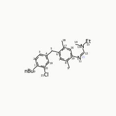 CCCCc1ccc(Cc2cc(C)c(/N=C\N(C)CC)cc2C)cc1Cl